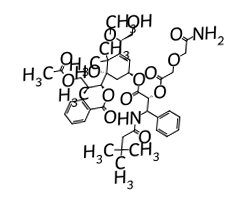 CO[C@@H](CO)C1=C[C@@H](OC(=O)[C@H](OC(=O)COCC(N)=O)C(NC(=O)CC(C)(C)C)c2ccccc2)C[C@@](O)([C@@H](OC(=O)c2ccccc2)[C@@H](C)COC(C)=O)C1(C)C